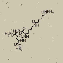 CBOC(=O)C(CCC(=O)OP)NC(=O)NC(CCCCNC(=O)CCCCCNP)C(=O)OP